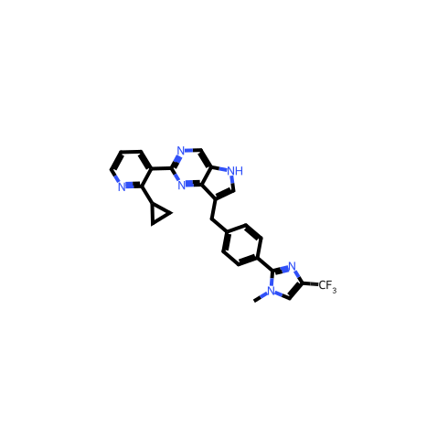 Cn1cc(C(F)(F)F)nc1-c1ccc(Cc2c[nH]c3cnc(-c4cccnc4C4CC4)nc23)cc1